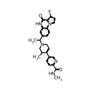 CNC(=O)c1ccc(C2=CCN(C(C)c3ccc4c(c3)[nH]c(=O)c3c(F)ccn34)CC2C)cn1